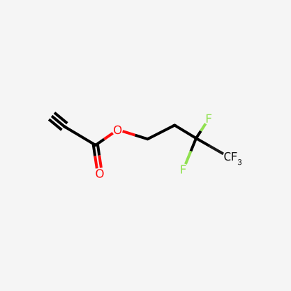 C#CC(=O)OCCC(F)(F)C(F)(F)F